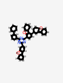 c1ccc(-c2cccc(-c3nc(-c4ccc5c(c4)oc4ccccc45)nc(-c4ccc(-c5ccc6oc7ccccc7c6c5)c5c4oc4ccccc45)n3)c2)cc1